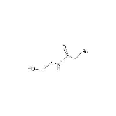 CCC(C)CC(=O)NCCO